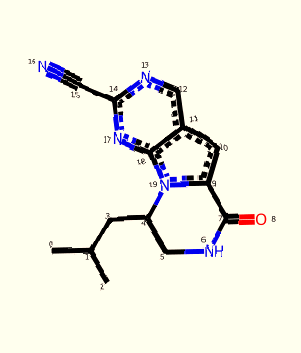 CC(C)CC1CNC(=O)c2cc3cnc(C#N)nc3n21